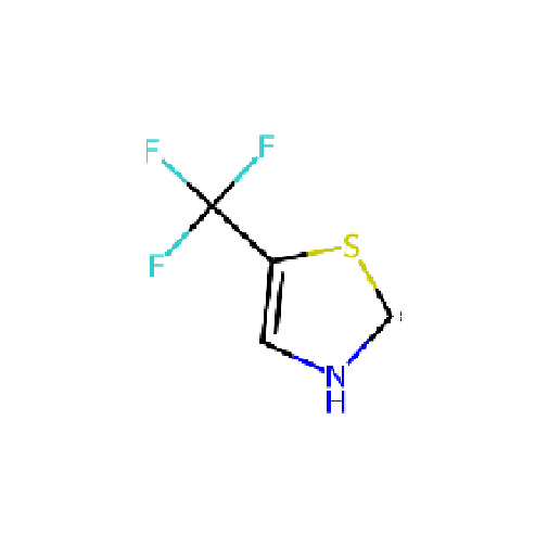 FC(F)(F)C1=CN[C]S1